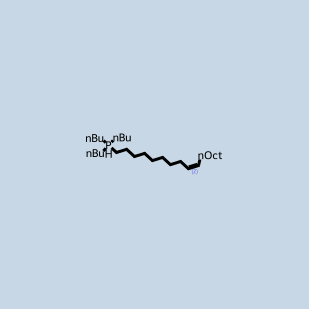 CCCCCCCC/C=C\CCCCCCCC[PH](CCCC)(CCCC)CCCC